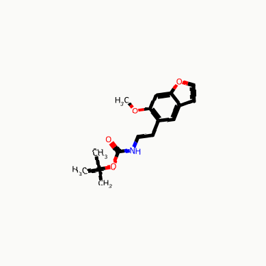 COc1cc2occc2cc1CCNC(=O)OC(C)(C)C